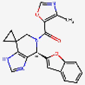 Cc1ncoc1C(=O)N1CC2(CC2)c2[nH]cnc2[C@@H]1c1cc2ccccc2o1